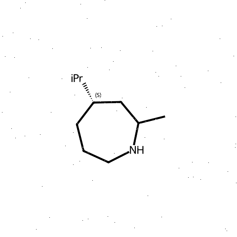 CC1C[C@@H](C(C)C)CCCN1